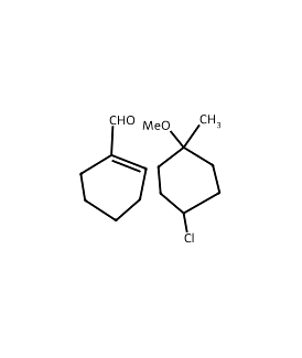 COC1(C)CCC(Cl)CC1.O=CC1=CCCCC1